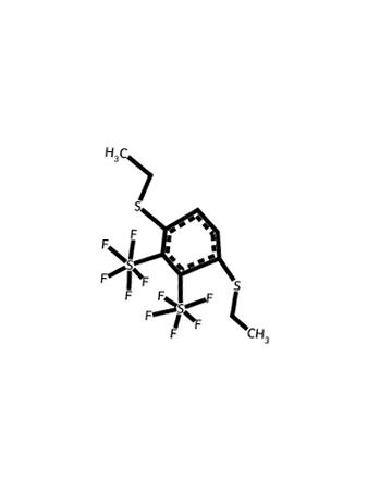 CCSc1ccc(SCC)c(S(F)(F)(F)(F)F)c1S(F)(F)(F)(F)F